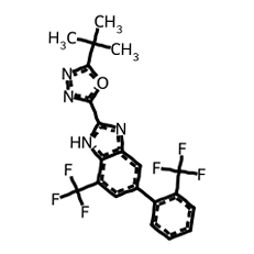 CC(C)(C)c1nnc(-c2nc3cc(-c4ccccc4C(F)(F)F)cc(C(F)(F)F)c3[nH]2)o1